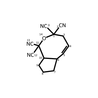 N#CC1(C#N)C/C=C\C2CCCC2C(C#N)(C#N)O1